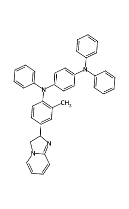 Cc1cc(C2CN3C=CC=CC3=N2)ccc1N(c1ccccc1)c1ccc(N(c2ccccc2)c2ccccc2)cc1